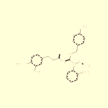 C=NN(/C(=N/C(=O)CCc1ccc(OC)c(OC)c1)NCc1ccc(OC)cc1)c1ccccc1N